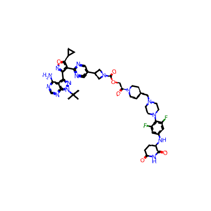 CC(C)(C)n1nc(-c2noc(C3CC3)c2-c2ncc(C3CN(C(=O)OCC(=O)N4CCC(CN5CCN(c6c(F)cc(NC7CCC(=O)NC7=O)cc6F)CC5)CC4)C3)cn2)c2c(N)ncnc21